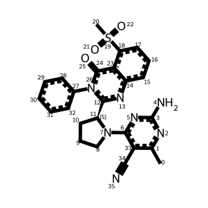 Cc1nc(N)nc(N2CCC[C@H]2c2nc3cccc(S(C)(=O)=O)c3c(=O)n2-c2ccccc2)c1C#N